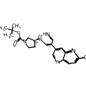 CC(C)(C)OC(=O)N1CC[C@H](N/C=C(\C=N)c2cnc3ccc(Cl)nc3c2)C1